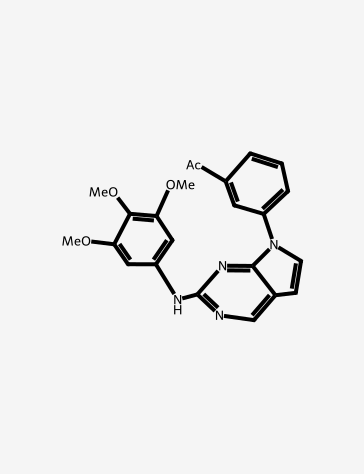 COc1cc(Nc2ncc3ccn(-c4cccc(C(C)=O)c4)c3n2)cc(OC)c1OC